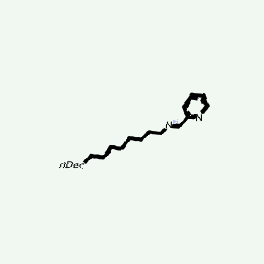 CCCCCCCCCCCCCCCCCC/N=C/c1ccccn1